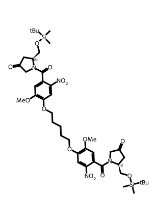 COc1cc(C(=O)N2CC(=O)C[C@H]2CO[Si](C)(C)C(C)(C)C)c([N+](=O)[O-])cc1OCCCCCOc1cc([N+](=O)[O-])c(C(=O)N2CC(=O)C[C@H]2CO[Si](C)(C)C(C)(C)C)cc1OC